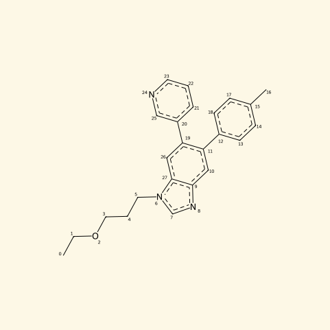 CCOCCCn1cnc2cc(-c3ccc(C)cc3)c(-c3cccnc3)cc21